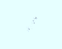 O=C1O[C@@H](Cn2ccnn2)CN1c1cc(F)c(C2[C@H]3CNC[C@@H]23)c(F)c1